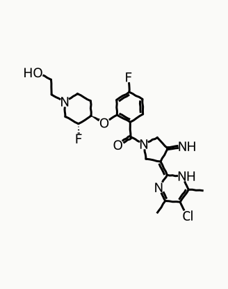 CC1=N/C(=C2\CN(C(=O)c3ccc(F)cc3O[C@@H]3CCN(CCO)C[C@H]3F)CC2=N)NC(C)=C1Cl